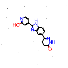 O=C1CCC(c2ccc3[nH]c(-c4ccnc(O)c4)nc3c2)=NN1